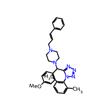 COc1ccc(C(c2nnnn2-c2c(C)cccc2C)N2CCN(CC=Cc3ccccc3)CC2)cc1